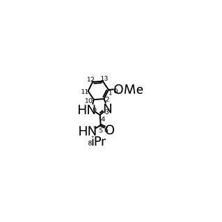 COC1=C2N=C(C(=O)NC(C)C)NC2CC=C1